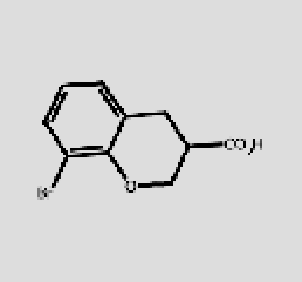 O=C(O)C1COc2c(Br)cccc2C1